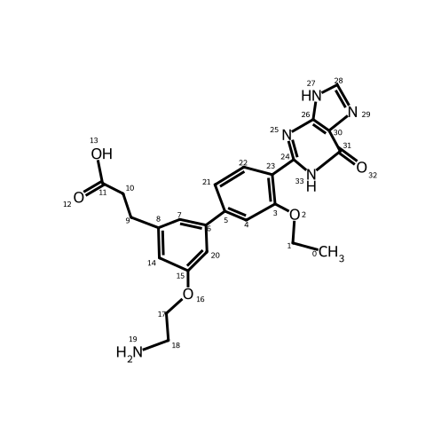 CCOc1cc(-c2cc(CCC(=O)O)cc(OCCN)c2)ccc1-c1nc2[nH]cnc2c(=O)[nH]1